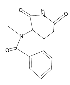 CN(C(=O)c1ccccc1)C1CCC(=O)NC1=O